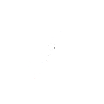 N#C/C(=C\c1ccc(NCCN2CCOCC2)cc1)C(=O)NC[C@H]1OC(SO)C[C@@H](O)[C@@H]1O